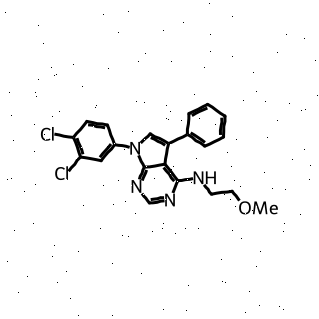 COCCNc1ncnc2c1c(-c1ccccc1)cn2-c1ccc(Cl)c(Cl)c1